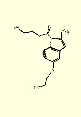 CSCCOc1ccc2c(c1)cc(C(=O)O)n2C(=O)OCCC(C)(C)C